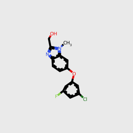 Cn1c(CO)nc2ccc(Oc3cc(F)cc(Cl)c3)cc21